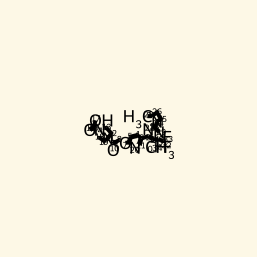 Cc1c(-c2ccc(OCC(=O)N3CCN(C(=O)O)CC3)nc2)nc(N2CCC2C)nc1C(F)(F)F